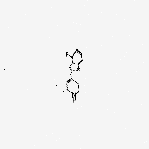 Fc1cccc2sc(C3=CCNCC3)cc12